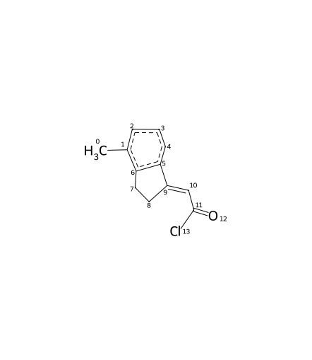 Cc1cccc2c1CCC2=CC(=O)Cl